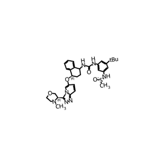 CN1CCOC[C@H]1c1nnc2ccc(O[C@@H]3CCC(NC(=O)Nc4cc(N[S+](C)[O-])cc(C(C)(C)C)c4)c4ccccc43)cn12